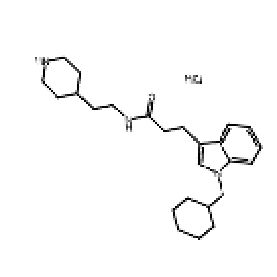 Cl.O=C(CCc1cn(CC2CCCCC2)c2ccccc12)NCCC1CCNCC1